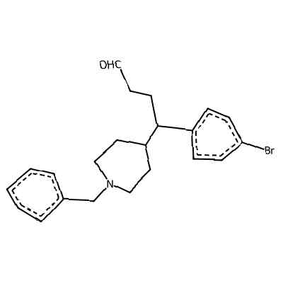 O=CCCC(c1ccc(Br)cc1)C1CCN(Cc2ccccc2)CC1